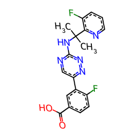 CC(C)(Nc1ncc(-c2cc(C(=O)O)ccc2F)nn1)c1ncccc1F